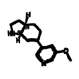 COc1cncc(C2=C[C@H]3NCC[C@H]3CC2)c1